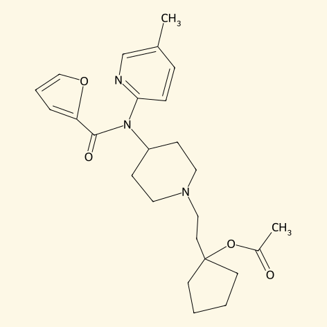 CC(=O)OC1(CCN2CCC(N(C(=O)c3ccco3)c3ccc(C)cn3)CC2)CCCC1